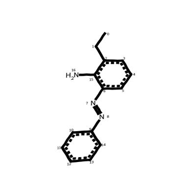 CCc1cccc(/N=N/c2ccccc2)c1N